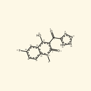 Cn1c(=O)c(C(=O)c2nnn[nH]2)c(O)c2cc(F)ccc21